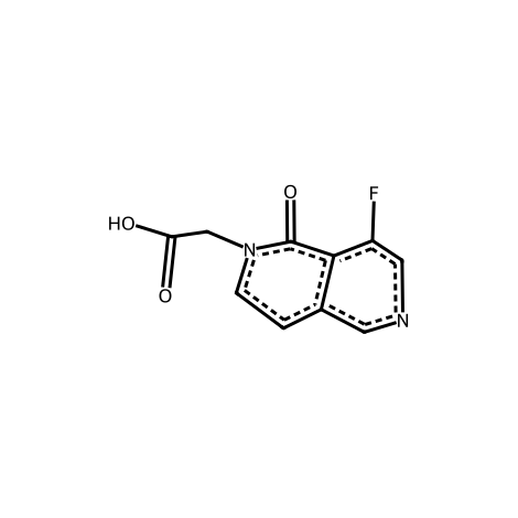 O=C(O)Cn1ccc2cncc(F)c2c1=O